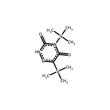 C[Si](C)(C)c1n[nH]c(=O)n([Si](C)(C)C)c1=O